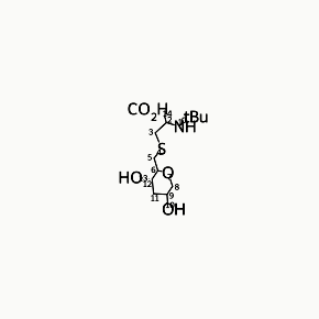 CC(C)(C)NC(CSCC1OCC(O)C[C@@H]1O)C(=O)O